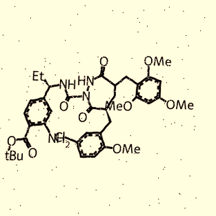 CC[C@@H](NC(=O)N1NC(=O)C(Cc2c(OC)cc(OC)cc2OC)C[C@@H](Cc2cc(Cl)ccc2OC)C1=O)c1ccc(C(=O)OC(C)(C)C)c(N)c1